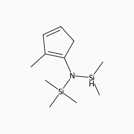 CC1=C(N([SiH](C)C)[Si](C)(C)C)CC=C1